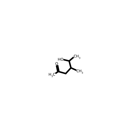 CC(=O)CC(C)C(C)O